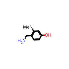 CNc1cc(O)ccc1CN